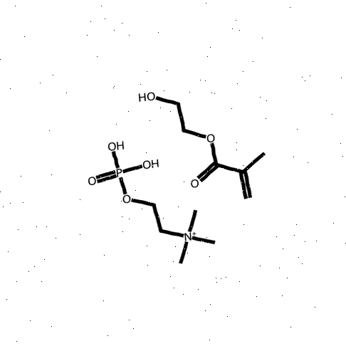 C=C(C)C(=O)OCCO.C[N+](C)(C)CCOP(=O)(O)O